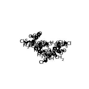 C=Cc1cc(-c2cc(NCc3ccc(Cl)s3)n(C(=O)C(C)(C)C)n2)n(CC=O)c(=O)c1.CC(C)(C)C(=O)n1nc(-c2c(-c3ccccn3)ccc(=O)n2CC=O)cc1NCc1ccc(Cl)s1.CC(C)(C)C(=O)n1nc(-c2c(-c3ccccn3)ccc(=O)n2CC=O)cc1SCc1ccc(Cl)s1.CC(C)(C)C(=O)n1nc(-c2ccc(N3CCOCC3)c(=O)n2CC=O)cc1NCc1ccc(Cl)s1